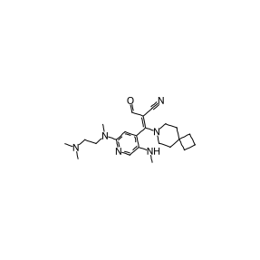 CNc1cnc(N(C)CCN(C)C)cc1/C(=C(/C#N)C=O)N1CCC2(CCC2)CC1